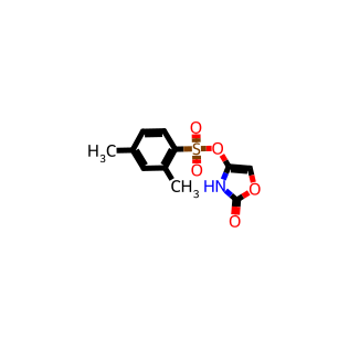 Cc1ccc(S(=O)(=O)Oc2coc(=O)[nH]2)c(C)c1